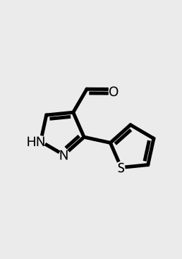 O=Cc1c[nH]nc1-c1cccs1